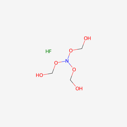 F.OCON(OCO)OCO